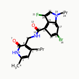 CCCc1cc(C)[nH]c(=O)c1CNC(=O)c1cc(Br)cc2c1c(F)cn2C(C)C